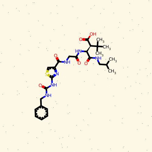 CC(C)CNC(=O)C(NC(=O)CNC(=O)c1csc(NC(=O)NCc2ccccc2)n1)[C@@H](C(=O)O)C(C)(C)C